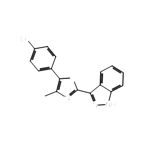 Cc1nc(-c2n[nH]c3ccccc23)sc1-c1ccc(Br)cc1